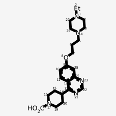 CCN1CCN(CCCOc2ccc3c(C4CCN(C(=O)O)CC4)ncnc3c2)CC1